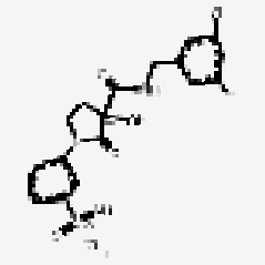 C[S@](=N)(=O)c1cccc(N2CC[C@](O)(C(=O)NCc3cc(F)cc(Cl)c3)C2=O)c1